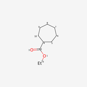 CCOC(=O)C1CCCCCC1